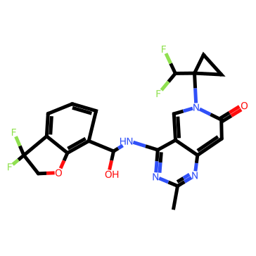 Cc1nc(NC(O)c2cccc3c2OCC3(F)F)c2cn(C3(C(F)F)CC3)c(=O)cc2n1